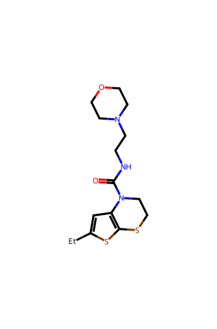 CCc1cc2c(s1)SCCN2C(=O)NCCN1CCOCC1